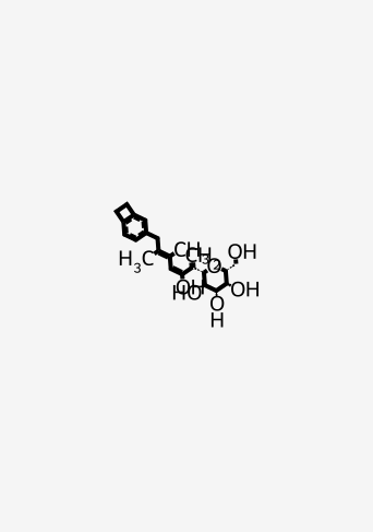 C=C(/C(O)=C\C(C)=C(/C)Cc1ccc2c(c1)CC2)[C@@H]1O[C@H](CO)[C@@H](O)[C@H](O)[C@H]1O